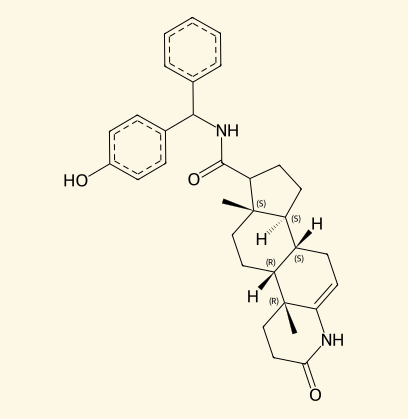 C[C@]12CCC(=O)NC1=CC[C@@H]1[C@H]2CC[C@]2(C)C(C(=O)NC(c3ccccc3)c3ccc(O)cc3)CC[C@@H]12